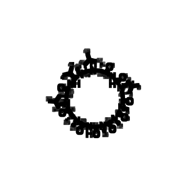 CC(C)C[C@@H]1C(=O)N(C)C(=O)N(C)C(=O)N(C)C(=O)NC(=O)N(C)[C@H](C)C(=O)N(C)[C@@H](CC(C)C)C(=O)NC(C(C)C)N(C)[C@H](CC(C)C)N[C@H](C)C(=O)NC(=O)N1C